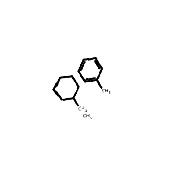 C.CC1CCCCC1.Cc1ccccc1